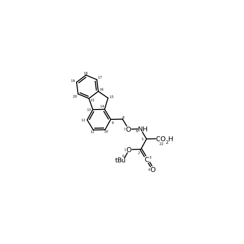 CC(C)(C)OC(=C=O)C(NOCc1cccc2c1Cc1ccccc1-2)C(=O)O